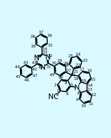 N#Cc1ccc2c(c1)-n1c3ccccc3c3cccc(c31)C2(c1ccccc1)c1ccc(-c2nc(-c3ccccc3)nc(-c3ccccc3)n2)cc1